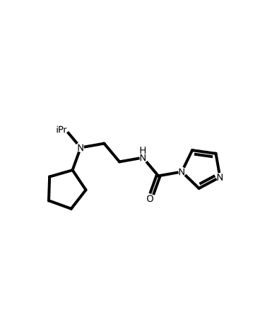 CC(C)N(CCNC(=O)n1ccnc1)C1CCCC1